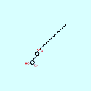 CCCCCC=CCC=CCC=CCC=CCCCC(=O)Oc1ccc(C=Cc2cc(O)cc(O)c2)cc1